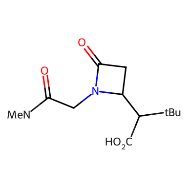 CNC(=O)CN1C(=O)CC1C(C(=O)O)C(C)(C)C